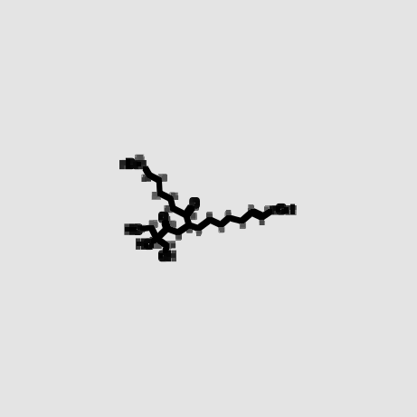 CCCCCCCCC=CCCCCCC(CC(=O)C(O)(CO)CO)C(=O)CCCCCCCCCCCCCCC